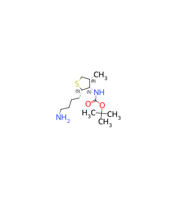 C[C@H]1CS[C@@H](CCCCN)[C@H]1NC(=O)OC(C)(C)C